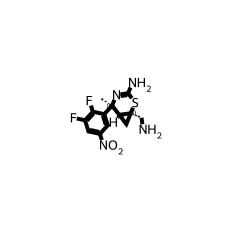 C[C@]1(c2cc([N+](=O)[O-])cc(F)c2F)N=C(N)S[C@@]2(CN)C[C@H]21